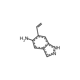 C=Cc1cc2[nH]ncc2cc1N